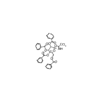 N=C(O[C@H]1OC(COC(=O)c2ccccc2)[C@@H](OC(=O)c2ccccc2)C(OC(=O)c2ccccc2)C1OC(=O)c1ccccc1)C(Cl)(Cl)Cl